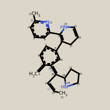 C=c1ccc(C2=C(c3cccc(C)n3)NC=CC2)c/c1=C(/C=C\C)C1CCCN1